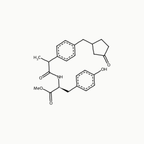 COC(=O)[C@H](Cc1ccc(O)cc1)NC(=O)C(C)c1ccc(CC2CCC(=O)C2)cc1